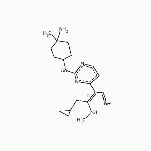 CN/C(CC1CC1)=C(\C=N)c1ccnc(NC2CCC(C)(N)CC2)n1